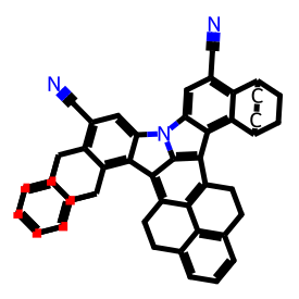 N#Cc1cc2c(c3c1C1CCC3CC1)c1c3c4c(c5c6c7c(c(C#N)cc6n2c15)C1c2ccccc2C7c2ccccc21)CCc1cccc(c1-4)CC3